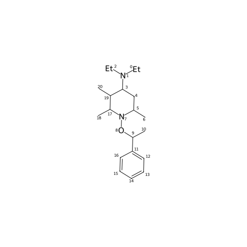 CCN(CC)C1CC(C)N(OC(C)c2ccccc2)C(C)C1C